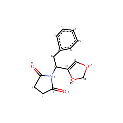 O=C1CCC(=O)N1C(Cc1ccccc1)C1=COCO1